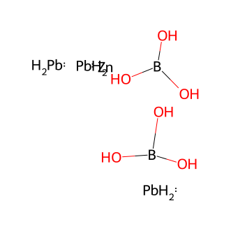 OB(O)O.OB(O)O.[PbH2].[PbH2].[PbH2].[Zn]